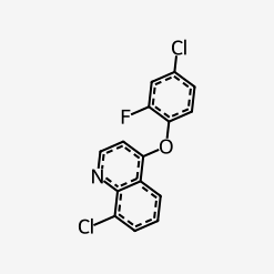 Fc1cc(Cl)ccc1Oc1ccnc2c(Cl)cccc12